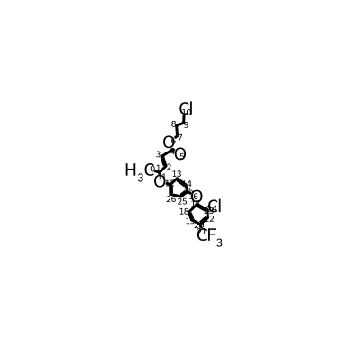 CC(/C=C/C(=O)OCCCCl)Oc1ccc(Oc2ccc(C(F)(F)F)cc2Cl)cc1